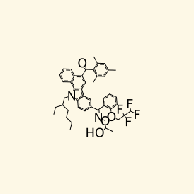 CCCCC(CC)Cn1c2ccc(/C(=N/OC(C)O)c3ccccc3OCC(F)(F)C(F)F)cc2c2cc(C(=O)c3c(C)cc(C)cc3C)c3ccccc3c21